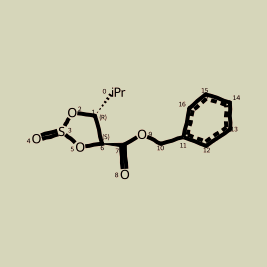 CC(C)[C@H]1OS(=O)O[C@@H]1C(=O)OCc1ccccc1